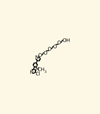 Cn1c2cc(-c3ccc(OCCOCCOCCOCCOCCO)nc3)ccc2c2cncc(Cl)c21